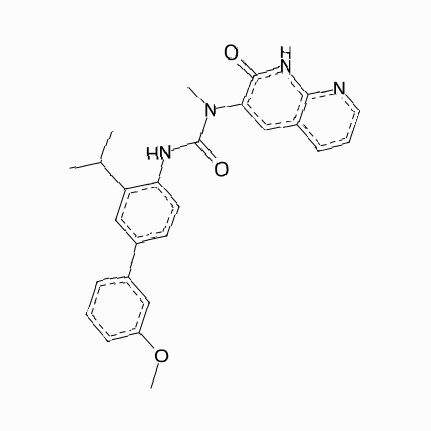 COc1cccc(-c2ccc(NC(=O)N(C)c3cc4cccnc4[nH]c3=O)c(C(C)C)c2)c1